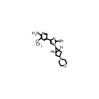 CC(C)c1nc(-c2cnc(N)c(OC(F)(F)F)c2)cn1[C@H]1[C@@H]2C[C@@H](N3CCOCC3)C[C@@H]21